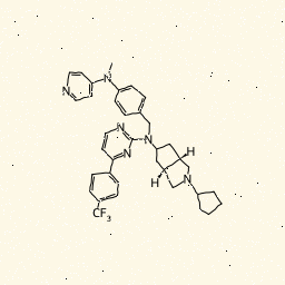 CN(c1ccncc1)c1ccc(CN(c2nccc(-c3ccc(C(F)(F)F)cc3)n2)C2C[C@@H]3CN(C4CCCC4)C[C@@H]3C2)cc1